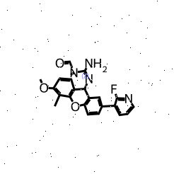 COc1ccc2c(c1C)Oc1ccc(-c3cccnc3F)cc1C2/N=C(/N)N(C)C=O